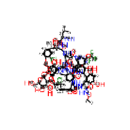 CCONC(=O)[C@@H]1NC(=O)[C@H]2NC(=O)[C@H](NC(=O)[C@@H]3NC(=O)[C@H](CC(N)=O)NC(=O)[C@H](NC(=O)[C@@H](CC(C)C)NC)[C@H](O)c4ccc(c(Cl)c4)Oc4cc3cc(c4O[C@@H]3O[C@H](CO)[C@@H](O)[C@H](O)[C@H]3O[C@H]3C[C@](C)(NCc4cccc(NC(=O)c5ccc(OC(F)(F)F)cc5)c4)[C@H](O)[C@H](C)O3)Oc3ccc(cc3Cl)[C@H]2O)c2ccc(O)c(c2)-c2c(O)cc(O)cc21